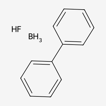 B.F.c1ccc(-c2ccccc2)cc1